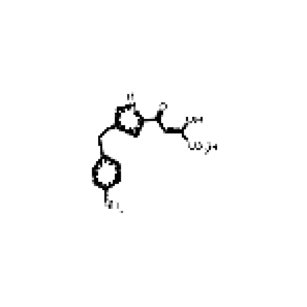 Nc1ccc(Cc2c[nH]c(C(=O)C=C(O)C(=O)O)c2)cc1